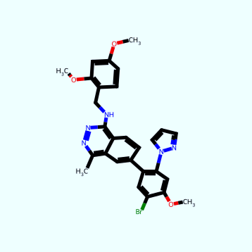 COc1ccc(CNc2nnc(C)c3cc(-c4cc(Br)c(OC)cc4-n4cccn4)ccc23)c(OC)c1